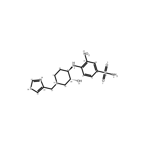 NS(=O)(=O)c1ccc(N[C@@H]2CCN(Cc3cscn3)C[C@H]2O)c([N+](=O)[O-])c1